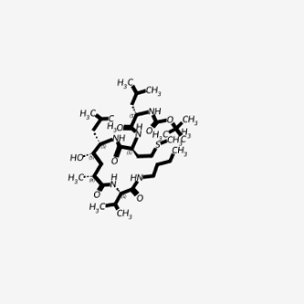 CCCCNC(=O)[C@@H](NC(=O)[C@H](C)C[C@H](O)[C@H](CC(C)C)NC(=O)[C@H](CCSC)NC(=O)[C@H](CC(C)C)NC(=O)OC(C)(C)C)C(C)C